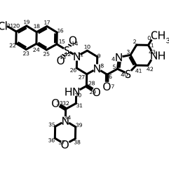 CC1Cc2nc(C(=O)N3CCN(S(=O)(=O)c4ccc5cc(Cl)ccc5c4)CC3C(=O)NCC(=O)N3CCOCC3)sc2CN1